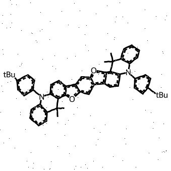 CC(C)(C)c1ccc(N2c3ccccc3C(C)(C)c3c2ccc2c3oc3cc4c(cc32)oc2c3c(ccc24)N(c2ccc(C(C)(C)C)cc2)c2ccccc2C3(C)C)cc1